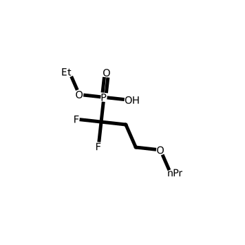 CCCOCCC(F)(F)P(=O)(O)OCC